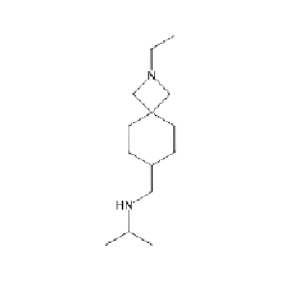 CCN1CC2(CCC(CNC(C)C)CC2)C1